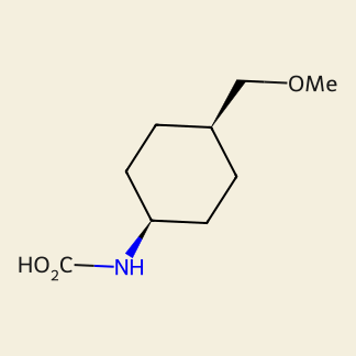 COC[C@H]1CC[C@@H](NC(=O)O)CC1